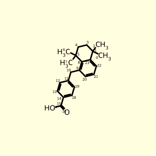 CC1(C)CCC(C)(C)c2c(Cc3ccc(C(=O)O)cc3)[c]ccc21